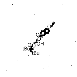 C#CCOc1ccc2c(c1)=CCC(C)(C(=O)OCC(O)COC(=O)C(C)(CC(C)(C)C)C(C)(C)C)C=2